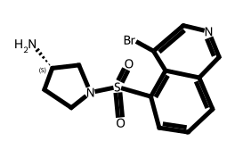 N[C@H]1CCN(S(=O)(=O)c2cccc3cncc(Br)c23)C1